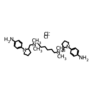 C[N+](C)(CCCCCC[N+](C)(C)CC1CCCN1c1ccc(N)cc1)CC1CCCN1c1ccc(N)cc1.[Cl-].[Cl-]